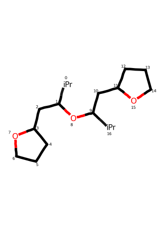 CC(C)C(CC1CCCO1)OC(CC1CCCO1)C(C)C